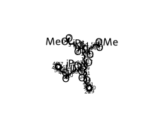 COC(=O)CCCNC(=O)C(CC(C)C)N(CCCC(=O)N(CCCC(=O)OCc1ccccc1)C(CC(C)C)C(=O)NCCCC(=O)OCc1ccccc1)C(=O)CCCC(=O)OC